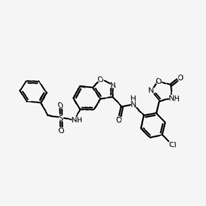 O=C(Nc1ccc(Cl)cc1-c1noc(=O)[nH]1)c1noc2ccc(NS(=O)(=O)Cc3ccccc3)cc12